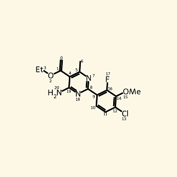 C=C(OCC)c1c(C)nc(-c2ccc(Cl)c(OC)c2F)nc1N